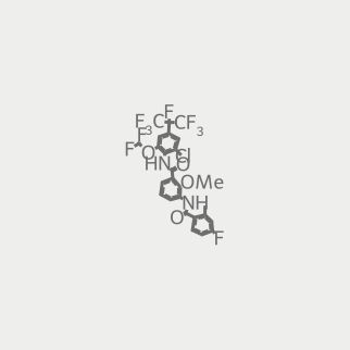 COc1c(NC(=O)c2ccc(F)cc2C)cccc1C(=O)Nc1c(Cl)cc(C(F)(C(F)(F)F)C(F)(F)F)cc1OC(F)F